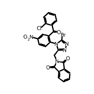 O=C(c1ccccc1Cl)c1cc([N+](=O)[O-])ccc1-n1c(Br)nnc1CN1C(=O)c2ccccc2C1=O